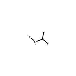 C[CH](C)[Sn][F]